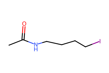 CC(=O)NCCCCI